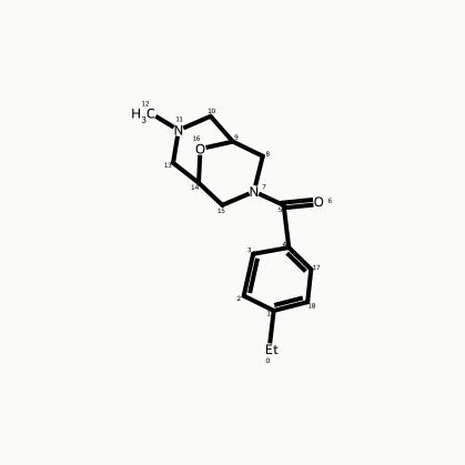 CCc1ccc(C(=O)N2CC3CN(C)CC(C2)O3)cc1